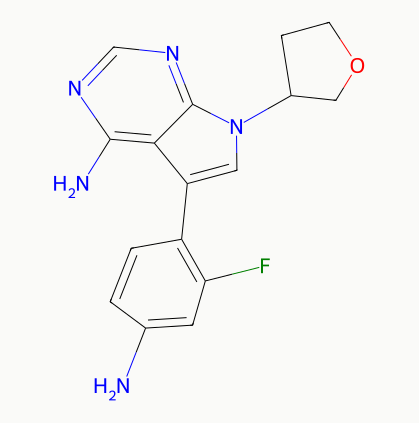 Nc1ccc(-c2cn(C3CCOC3)c3ncnc(N)c23)c(F)c1